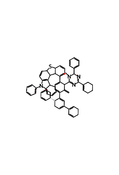 C=C1C(C2=CC(C3=CCCC=C3)=CCC2[C@@H]2C=CC=CC2)=CC=C(C2=CC=CC3SC4C=CC5=C(C6CC=CC=C6N5c5ccccc5)C4C23)C1C1=NC(C2=CCCCC2)=NC(c2ccccc2)N1C